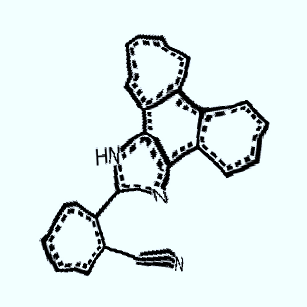 N#Cc1ccccc1-c1nc2c3ccccc3c3ccccc3c2[nH]1